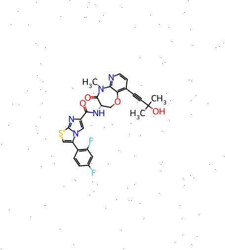 CN1C(=O)[C@@H](NC(=O)c2cn3c(-c4ccc(F)cc4F)csc3n2)COc2c(C#CC(C)(C)O)ccnc21